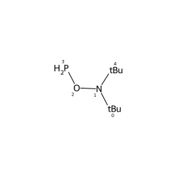 CC(C)(C)N(OP)C(C)(C)C